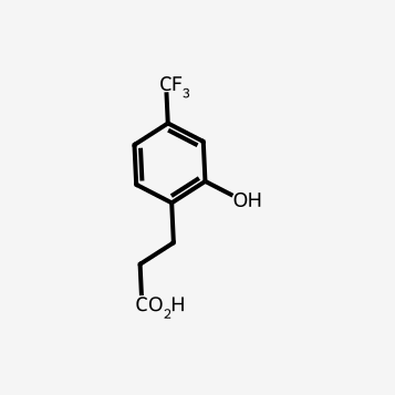 O=C(O)CCc1ccc(C(F)(F)F)cc1O